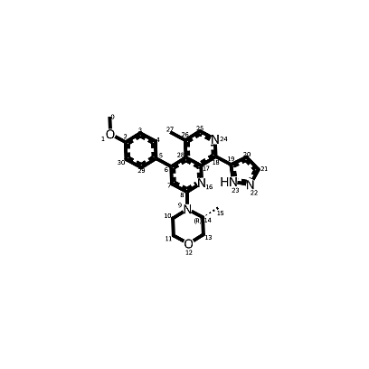 COc1ccc(-c2cc(N3CCOC[C@H]3C)nc3c(-c4ccn[nH]4)ncc(C)c23)cc1